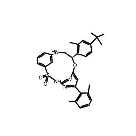 Cc1cc(C(C)(C)C)ccc1[C@@H]1CNc2cccc(c2)S(=O)(=O)Nc2nc(cc(-c3c(C)cccc3C)n2)O1